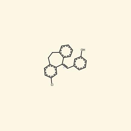 Oc1cccc(/C=C2\c3ccccc3CCc3ccc(Cl)cc32)c1